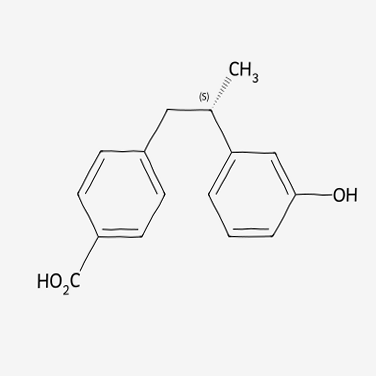 C[C@@H](Cc1ccc(C(=O)O)cc1)c1cccc(O)c1